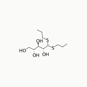 CCCSC(SCCC)[C@H](O)[C@H](O)[C@H](O)CO